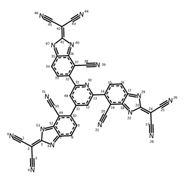 N#CC(C#N)=C1N=c2ccc(-c3cc(-c4ccc5c(c4C#N)=NC(=C(C#N)C#N)N=5)nc(-c4ccc5c(c4C#N)=NC(=C(C#N)C#N)N=5)c3)c(C#N)c2=N1